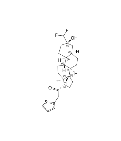 C[C@]12CC[C@H]3[C@@H](CC[C@@H]4C[C@@](O)(C(F)F)CC[C@@H]43)[C@@H]1CC[C@@H]2C(=O)Cc1cccs1